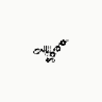 O=C(NCCN1CCOCC1)N[C@H]1CN(C(=O)C2CCC2)CC[C@H]1CN1CCC[C@@H](Cc2ccc(F)cc2)C1